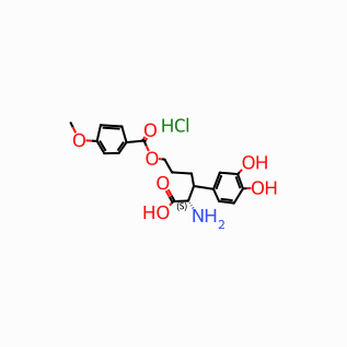 COc1ccc(C(=O)OCCCC(c2ccc(O)c(O)c2)[C@H](N)C(=O)O)cc1.Cl